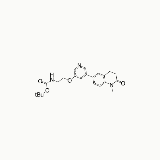 CN1C(=O)CCc2cc(-c3cncc(OCCNC(=O)OC(C)(C)C)c3)ccc21